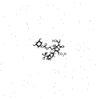 Cc1cc(C)cc(OC(=O)OCC[C@@]2(C)C(c3cn4cnc(S(C)(=O)=O)c4s3)=C(C(=O)O)N3C(=O)[C@H](C(C)O)[C@@H]32)c1